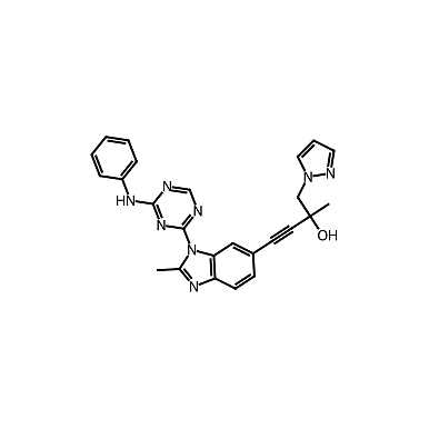 Cc1nc2ccc(C#CC(C)(O)Cn3cccn3)cc2n1-c1ncnc(Nc2ccccc2)n1